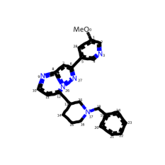 COc1cncc(-c2cc3nccc(C4CCCN(Cc5ccccc5)C4)n3n2)c1